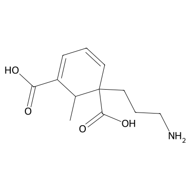 CC1C(C(=O)O)=CC=CC1(CCCN)C(=O)O